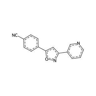 N#Cc1ccc(-c2cc(-c3cccnc3)no2)cc1